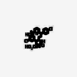 CC1(CC(=O)O)CC(c2cccc(Cl)c2)C(CCC(c2ccc(Cl)cc2)c2cccc(C(C)(C)O)n2)NC1=O